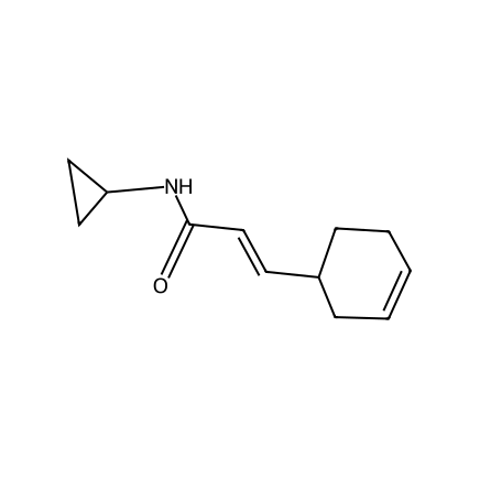 O=C(C=CC1CC=CCC1)NC1CC1